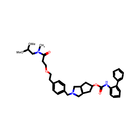 COC(CN(C)C(=O)CCOCCc1ccc(CN2CC3CC(OC(=O)Nc4ccccc4-c4ccccc4)CC3C2)cc1)OC